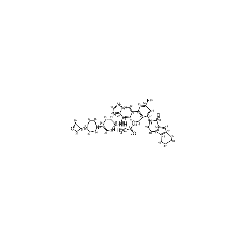 CC(=O)OCc1c(-c2cc(Nc3ccc(N4CCN(C5COC5)CC4)cn3)c3ncnn3c2)cc(F)cc1N1CCn2c(cc3c2CCCC3)C1=O